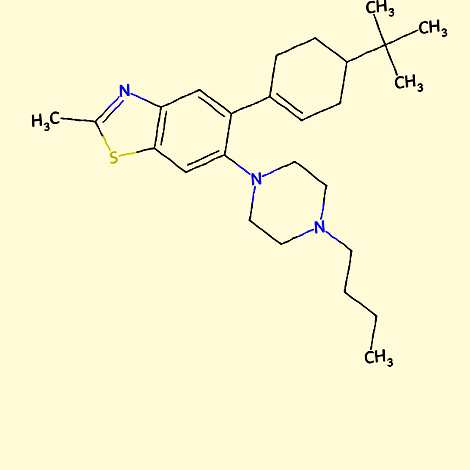 CCCCN1CCN(c2cc3sc(C)nc3cc2C2=CCC(C(C)(C)C)CC2)CC1